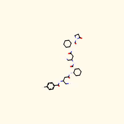 CC(C)(C)c1ccc(C(=O)NC(CN)CC(=O)N[C@@H]2CCCC[C@@H]2C(=O)NC(CN)CC(=O)N[C@@H]2CCCC[C@@H]2C(=O)N2CCC2=O)cc1